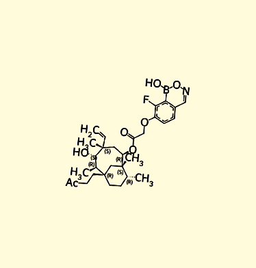 C=C[C@]1(C)C[C@@H](OC(=O)COc2ccc3c(c2F)B(O)ON=C3)[C@@]2(C)C[C@](CCC(C)=O)(CC[C@H]2C)[C@@H](C)[C@@H]1O